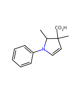 CC1N(c2ccccc2)C=CC1(C)C(=O)O